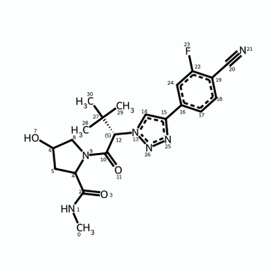 CNC(=O)C1CC(O)CN1C(=O)[C@@H](n1cc(-c2ccc(C#N)c(F)c2)nn1)C(C)(C)C